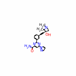 C=C1N(C)CC[C@@]1(O)C#Cc1cccc(-c2nc(C(N)=O)cc(-n3cccn3)n2)c1